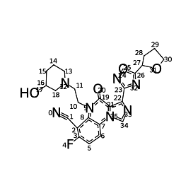 N#Cc1c(F)ccc2c1n(CCN1CCCC(O)C1)c(=O)c1c(-c3noc(C4CCCO4)n3)ncn12